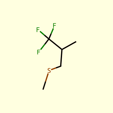 CSCC(C)C(F)(F)F